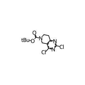 CC(C)(C)OC(=O)N1CCc2nc(Cl)nc(Cl)c2C1